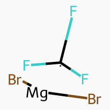 F[C](F)F.[Br][Mg][Br]